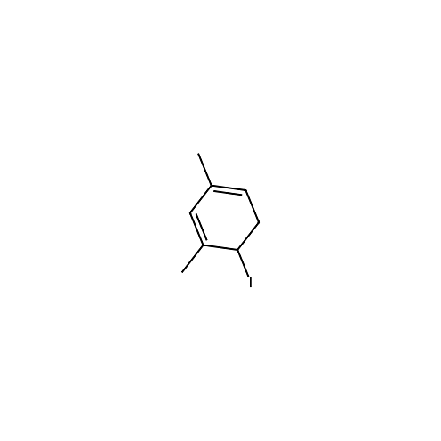 CC1=CCC(I)C(C)=C1